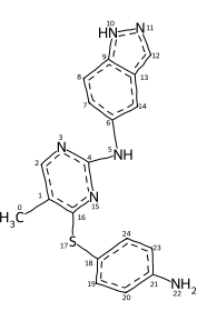 Cc1cnc(Nc2ccc3[nH]ncc3c2)nc1Sc1ccc(N)cc1